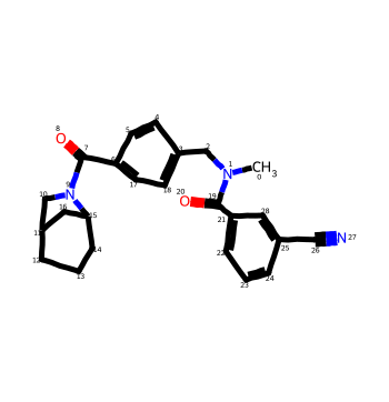 CN(Cc1ccc(C(=O)N2CC3CCCC2C3)cc1)C(=O)c1cccc(C#N)c1